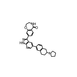 O=C1NCCOc2cc(-c3n[nH]c4ncc(-c5ccc6c(c5)CCC(N5CCCC5)C6)cc34)ccc21